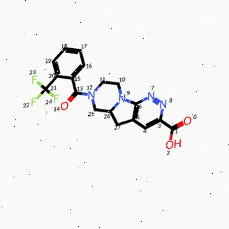 O=C(O)c1cc2c(nn1)N1CCN(C(=O)c3ccccc3C(F)(F)F)CC1C2